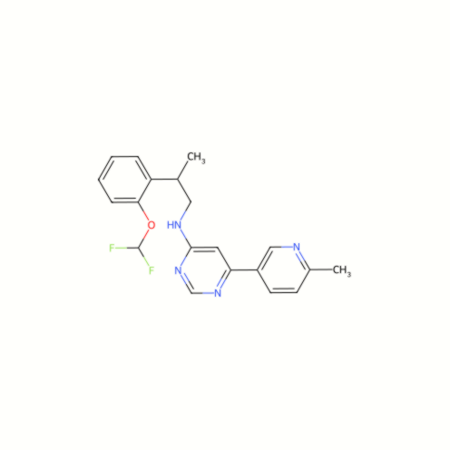 Cc1ccc(-c2cc(NCC(C)c3ccccc3OC(F)F)ncn2)cn1